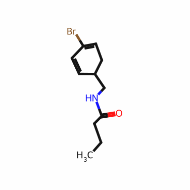 CCCC(=O)NCC1C=CC(Br)=CC1